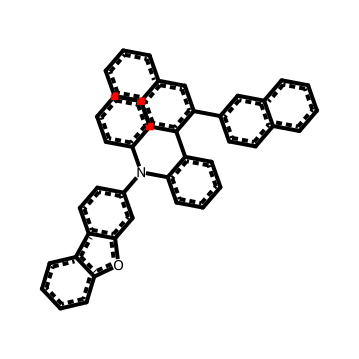 c1ccc(N(c2ccc3c(c2)oc2ccccc23)c2ccccc2-c2cc3ccccc3cc2-c2ccc3ccccc3c2)cc1